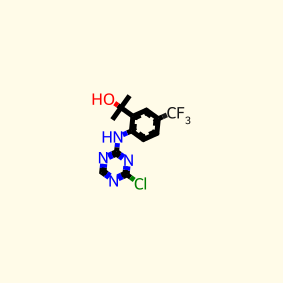 CC(C)(O)c1cc(C(F)(F)F)ccc1Nc1ncnc(Cl)n1